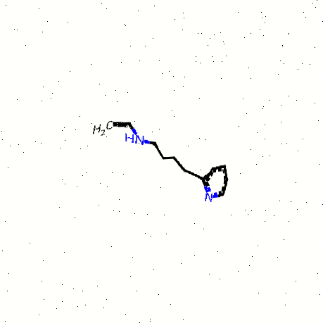 C=CNCCCCc1ccccn1